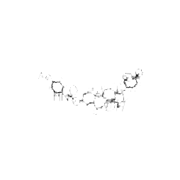 CC(=O)c1ccc(NC(=O)O[C@@H]2C=C3CCC4C(CC[C@]5(C)[C@@H](c6ccc(=O)oc6)CC[C@]45O)[C@@]3(C)CC2)cc1